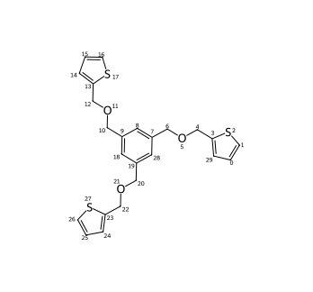 c1csc(COCc2cc(COCc3cccs3)cc(COCc3cccs3)c2)c1